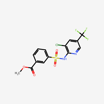 COC(=O)c1cccc(S(=O)(=O)Nc2ncc(C(F)(F)F)cc2Cl)c1